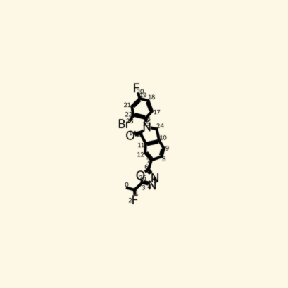 CC(F)c1nnc(-c2ccc3c(c2)C(=O)N(c2ccc(F)cc2Br)C3)o1